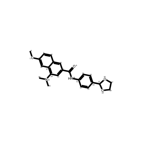 COc1ccc2cc(C(=O)Nc3ccc(C4OCCO4)cc3)cc(N(C)C)c2c1